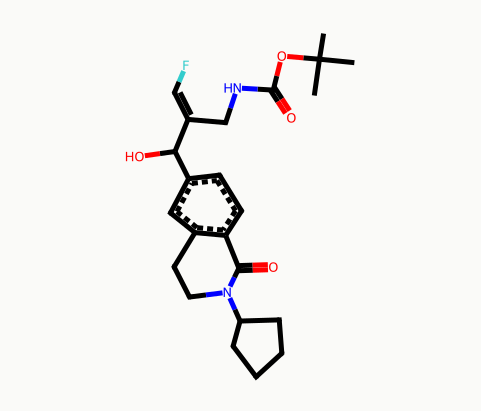 CC(C)(C)OC(=O)NC/C(=C\F)C(O)c1ccc2c(c1)CCN(C1CCCC1)C2=O